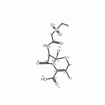 CCS(=O)(=O)CC(=O)NC1C(=O)N2C(C(=O)O)=C(C)CS[C@@H]12